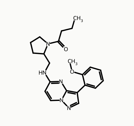 CCCC(=O)N1CCCC1CNc1ccn2ncc(-c3ccccc3OC)c2n1